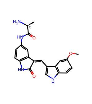 COc1ccc2[nH]cc(C=C3C(=O)Nc4ccc(NC(=O)[C@H](C)N)cc43)c2c1